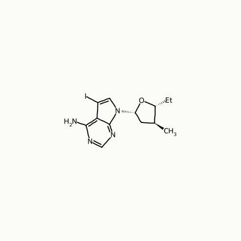 CC[C@H]1O[C@@H](n2cc(I)c3c(N)ncnc32)C[C@@H]1C